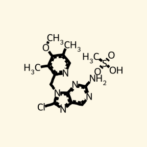 COc1c(C)cnc(Cn2c(Cl)nc3cnc(N)nc32)c1C.CS(=O)(=O)O